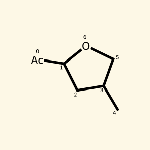 CC(=O)C1CC(C)CO1